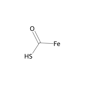 O=[C](S)[Fe]